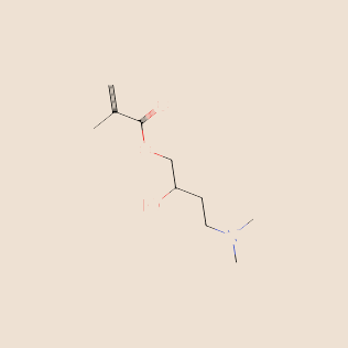 C=C(C)C(=O)OCC(O)CCN(C)C